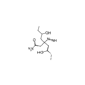 CCC(O)CC(CC(N)=O)(CC(O)CC)N=N